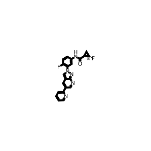 O=C(Nc1ccc(F)c(-n2cc3cc(-c4ccccn4)cnc3n2)c1)C1C[C@@H]1F